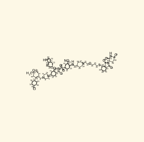 CC1(C)CCC(CN2CCN(c3ccc(C(=O)NS(=O)(=O)c4ccc(NCC5CCN(CCOCCCSc6cccc7c6C(=O)N(C6CCC(=O)NC6=O)C7=O)CC5)c([N+](=O)[O-])c4)c(Oc4cnc5[nH]ccc5c4)c3)CC2)=C(c2ccc(Cl)cc2)C1